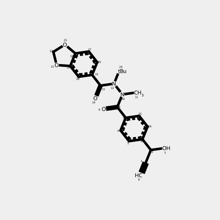 C#CC(O)c1ccc(C(=O)N(C)N(C(=O)c2ccc3c(c2)OCO3)C(C)(C)C)cc1